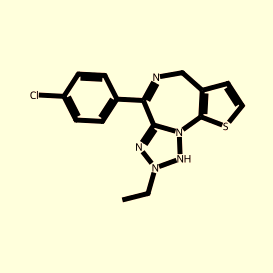 CCN1N=C2C(c3ccc(Cl)cc3)=NCc3ccsc3N2N1